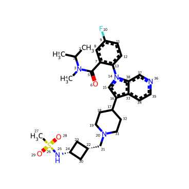 CC(C)N(C)C(=O)c1cc(F)ccc1-n1cc(C2CCN(C[C@H]3C[C@@H](NS(C)(=O)=O)C3)CC2)c2ccncc21